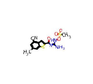 Cc1cc(C#N)c2cc(C(=O)N=C(N)NOS(C)(=O)=O)sc2c1